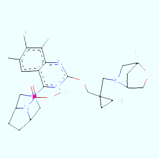 Cc1cc2c(N3CC4CCC(C3)N4C(=O)OC(C)(C)C)nc(OCC3(CN4C[C@@H]5C[C@H]4CO5)CC3)nc2c(F)c1Br